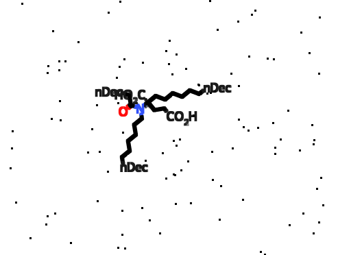 CCCCCCCCCCCCCCCCN(C(=O)CCCCCCCCCCC)[C@@](CCCCCCCCCCCCCCCC)(CCC(=O)O)C(=O)O